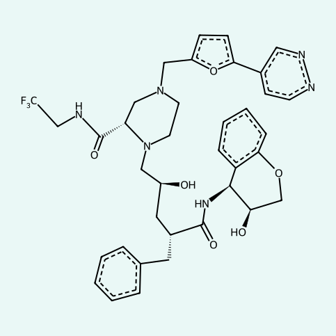 O=C(N[C@H]1c2ccccc2OC[C@H]1O)[C@H](Cc1ccccc1)C[C@H](O)CN1CCN(Cc2ccc(-c3ccnnc3)o2)C[C@H]1C(=O)NCC(F)(F)F